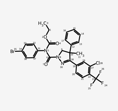 CCOC(=O)N(C(=O)N1CC(C)(c2ccccc2)C(c2ccc(C(F)(F)F)c(Cl)c2)=N1)c1ccc(Br)cc1